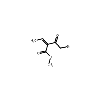 CC=C(C(=O)CBr)C(=O)OC